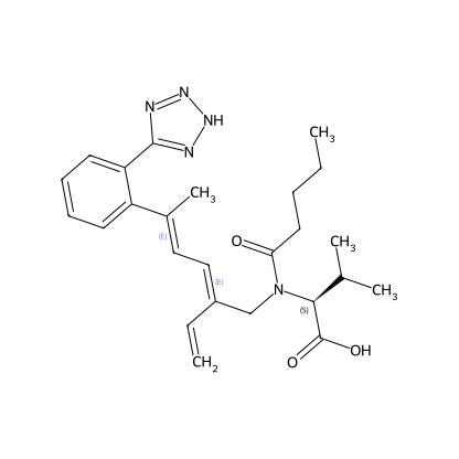 C=C/C(=C\C=C(/C)c1ccccc1-c1nn[nH]n1)CN(C(=O)CCCC)[C@H](C(=O)O)C(C)C